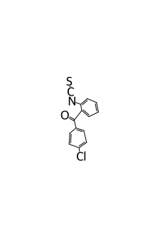 O=C(c1ccc(Cl)cc1)c1ccccc1N=C=S